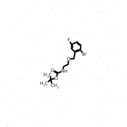 CC(C)(C)OC(=O)NCCOCc1cc(F)ccc1Br